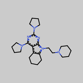 C1CCN(CCn2c3c(c4c(N5CCCC5)nc(N5CCCC5)nc42)CCCC3)CC1